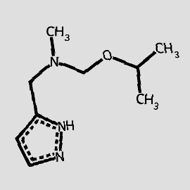 CC(C)OCN(C)Cc1ccn[nH]1